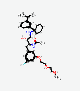 COCCOCCOc1cc(F)cc(C[C@H](NC(C)=O)[C@H](O)CNC2(c3cccc(C(C)C)c3)CCCCC2)c1